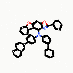 c1ccc(-c2cccc(N(c3ccc(-c4ccc5ccccc5c4)cc3)c3c4nc(-c5ccccc5)oc4cc4oc5ccccc5c34)c2)cc1